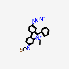 CC[n+]1c(-c2ccccc2)c2cc(N=[N+]=[N-])ccc2c2ccc(N=C=S)cc21